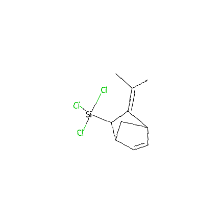 CC(C)=C1C2C=CC(C2)C1[Si](Cl)(Cl)Cl